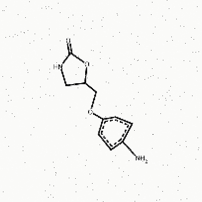 Nc1ccc(OCC2CNC(=O)O2)cc1